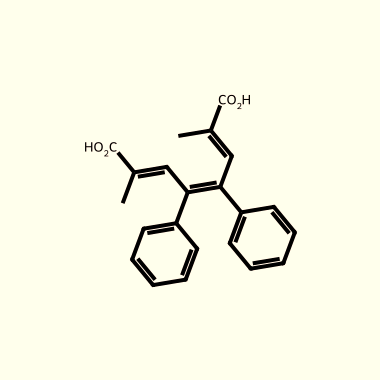 CC(=CC(=C(C=C(C)C(=O)O)c1ccccc1)c1ccccc1)C(=O)O